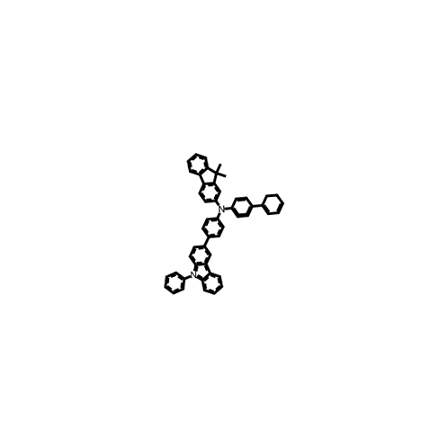 CC1(C)c2ccccc2-c2ccc(N(C3=C=C=C(C4=CC=CCC4)C=C3)c3ccc(-c4ccc5c(c4)c4ccccc4n5-c4ccccc4)cc3)cc21